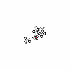 O=C(O)C[C@H](O)[C@@H](Cc1ccccc1)NC(=O)C(CSC(c1ccccc1)(c1ccccc1)c1ccccc1)NC(=O)C(Cc1ccccc1)NC(=O)CC(O)C=CCCSC(c1ccccc1)(c1ccccc1)c1ccccc1